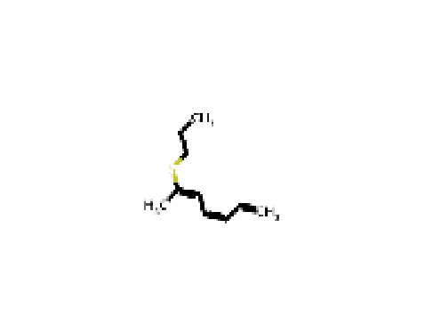 C=C/C=C\C=C(/C)SCCC